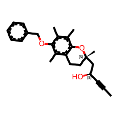 CC#C[C@@H](O)C[C@]1(C)CCc2c(C)c(OCc3ccccc3)c(C)c(C)c2O1